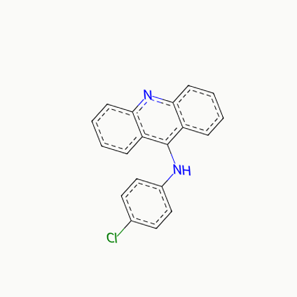 Clc1ccc(Nc2c3ccccc3nc3ccccc23)cc1